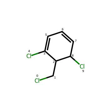 ClCC1C(Cl)=CC=CC1Cl